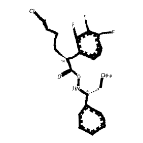 O=C(ON[C@H](CO)c1ccccc1)[C@@H](CCCCCl)c1ccc(F)c(F)c1F